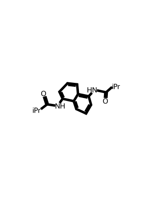 CC(C)C(=O)Nc1cccc2c(NC(=O)C(C)C)cccc12